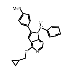 CNc1ccc(-c2cc3c(OCC4CC4)ncnc3n2[S+]([O-])c2ccccc2)cc1